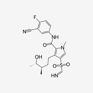 C[C@H](O)[C@H](C)CCc1c(S(=O)(=O)C=N)cn(C)c1C(=O)Nc1ccc(F)c(C#N)c1